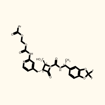 CC(C)C(=O)OCOC(=O)Nc1cc(C[C@H]2C(=O)N(C(=O)N[C@H](C)c3ccc4c(c3)OC(F)(F)O4)[C@@H]2C(=O)O)ccn1